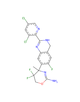 CC1(c2cc3c(cc2F)CNC(c2ncc(Cl)cc2Cl)=N3)N=C(N)OCC1(F)F